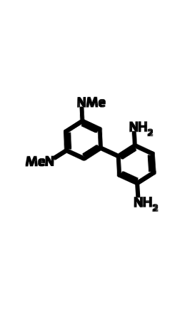 CNc1cc(NC)cc(-c2cc(N)ccc2N)c1